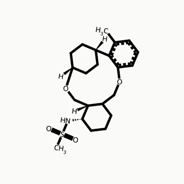 Cc1cccc2c1[C@H]1CC[C@H](CC1)OC[C@@H]1C(CCC[C@@H]1NS(C)(=O)=O)CO2